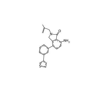 C=C(C)CN1Cc2c(-c3cccc(-c4ccsc4)c3)ccc(N)c2C1=O